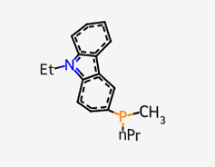 CCCP(C)c1ccc2c(c1)c1ccccc1n2CC